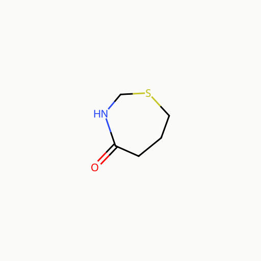 O=C1CCCSCN1